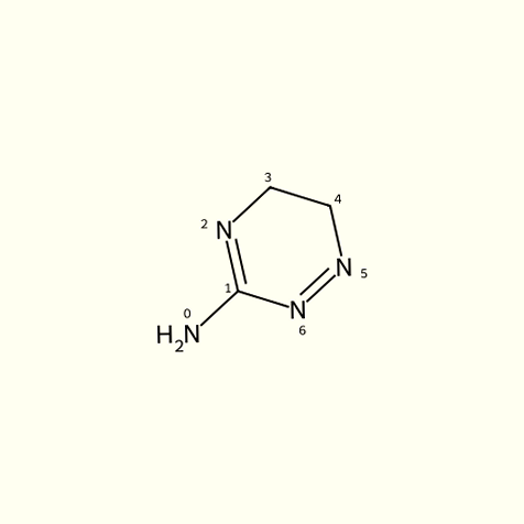 NC1=NCCN=N1